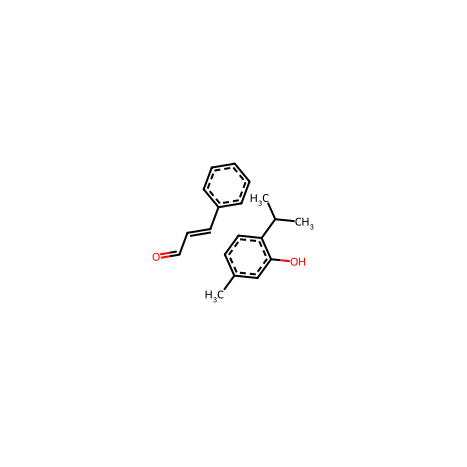 Cc1ccc(C(C)C)c(O)c1.O=C/C=C/c1ccccc1